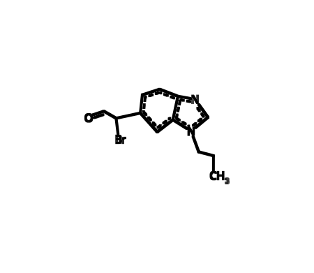 CCCn1cnc2ccc(C(Br)C=O)cc21